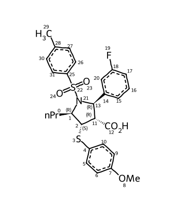 CCC[C@@H]1[C@@H](Sc2ccc(OC)cc2)[C@@H](C(=O)O)[C@H](c2cccc(F)c2)N1S(=O)(=O)c1ccc(C)cc1